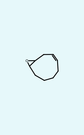 C1=CCC2OC2CCCC1